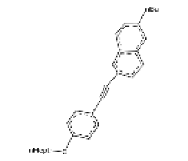 CCCCCCCOc1ccc(C#Cc2ccc3cc(CCCC)ccc3c2)cc1